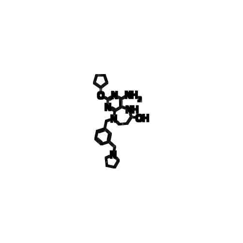 Nc1nc(OC2CCCC2)nc2c1NC(O)CCN2Cc1cccc(CN2CCCC2)c1